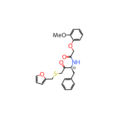 COc1ccccc1OCC(=O)N[C@@H](Cc1ccccc1)C(=O)CSCc1ccco1